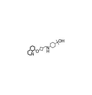 CC(C)(O)[C@H]1CC[C@H](NCC2CC(Oc3cccc4cccnc34)C2)CC1